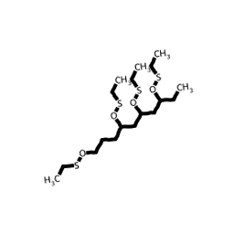 CCSOCCCC(CC(CC(CC)OSCC)OSCC)OSCC